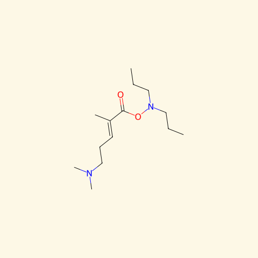 CCCN(CCC)OC(=O)C(C)=CCCN(C)C